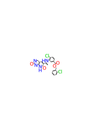 C=C(Nc1cc(C(=O)OCc2ccccc2Cl)ccc1Cl)c1cc2cnc(OC)nc2[nH]c1=O